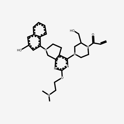 C=CC(=O)N1CCN(c2nc(OCCN(C)C)nc3c2CCN(c2cc(O)cc4ccccc24)C3)CC1CO